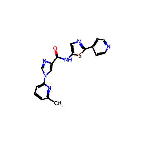 Cc1cccc(-n2cnc(C(=O)Nc3cnc(-c4ccncc4)s3)c2)n1